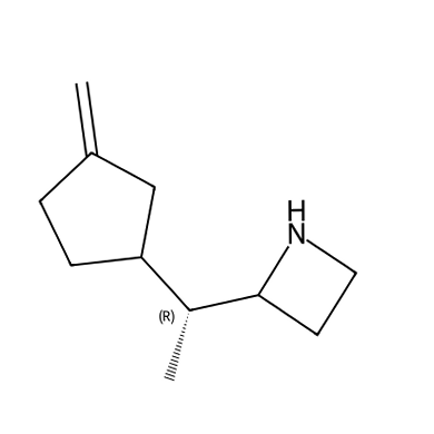 C=C1CCC([C@@H](C)C2CCN2)C1